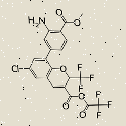 COC(=O)c1ccc(-c2cc(Cl)cc3c2OC(C(F)(F)F)C(C(=O)OC(=O)C(F)(F)F)=C3)cc1N